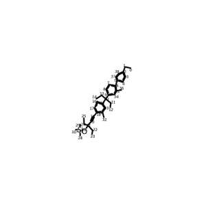 CCc1ccc(-c2ccc(C(CC)(CC)c3ccc(C#CC(CC)(CC)O[Si](C)(C)C)c(C)c3)cc2C)cc1